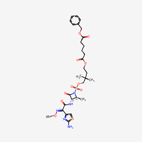 C[C@H]1[C@H](NC(=O)/C(=N/OC(C)(C)C)c2csc(N)n2)C(=O)N1S(=O)(=O)OCC(C)(C)CCOC(=O)CCCCC(=O)OCc1ccccc1